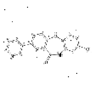 O=C1Nc2cc(C(F)(F)F)ccc2Oc2ccc(-c3cncnc3)cc21